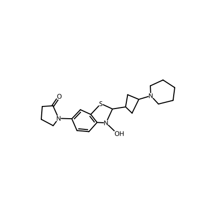 O=C1CCCN1c1ccc2c(c1)SC(C1CC(N3CCCCC3)C1)N2O